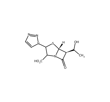 CC(O)[C@H]1C(=O)N2C(C(=O)O)C(n3ccnn3)S[C@H]12